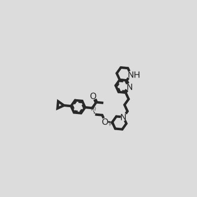 CC(=O)[C@H](CCO[C@@H]1CCCN(CCCc2ccc3c(n2)NCCC3)C1)c1ccc(C2CC2)cc1